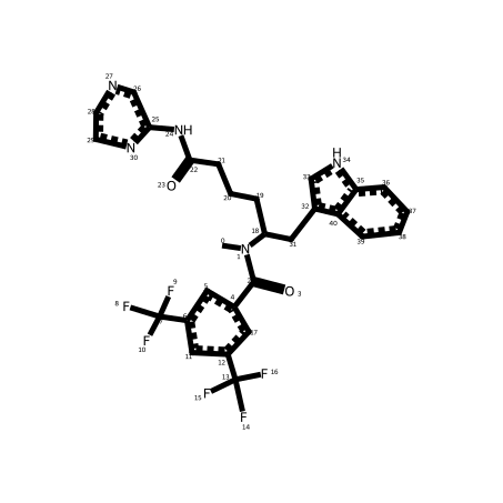 CN(C(=O)c1cc(C(F)(F)F)cc(C(F)(F)F)c1)C(CCCC(=O)Nc1cnccn1)Cc1c[nH]c2ccccc12